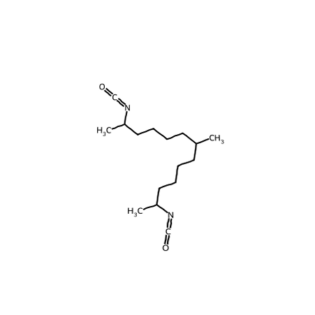 CC(CCCCC(C)N=C=O)CCCCC(C)N=C=O